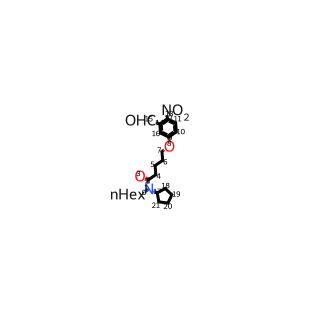 CCCCCCN(C(=O)CCCCOc1ccc([N+](=O)[O-])c(C=O)c1)C1CCCC1